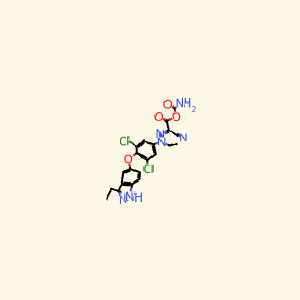 CCc1n[nH]c2ccc(Oc3c(Cl)cc(N(CC)N=C(C#N)C(=O)OC(N)=O)cc3Cl)cc12